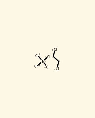 ClCCCl.[Cl][Ti]([Cl])([Cl])[Cl]